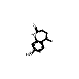 CC1CCC(=O)Oc2cc(O)ccc21